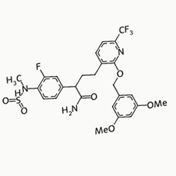 COc1cc(COc2nc(C(F)(F)F)ccc2CCC(C(N)=O)c2ccc(N(C)[SH](=O)=O)c(F)c2)cc(OC)c1